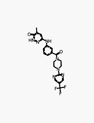 Cc1cc(Nc2cccc(C(=O)N3CCN(c4ncc(C(F)(F)F)cn4)CC3)c2)n[nH]c1=O